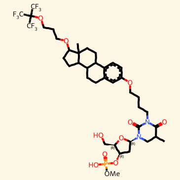 COP(=O)(O)O[C@@H]1C[C@H](N2CC(C)C(=O)N(CCCCOc3ccc4c(c3)CCC3C4CCC4(C)C(OCCCOC(C(F)(F)F)(C(F)(F)F)C(F)(F)F)CCC34)C2=O)O[C@@H]1CO